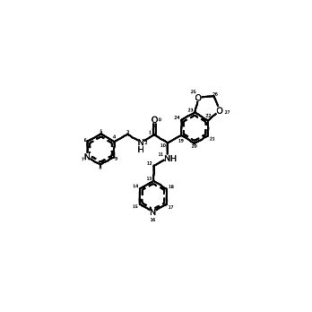 O=C(NCc1ccncc1)C(NCc1ccncc1)c1ccc2c(c1)OCO2